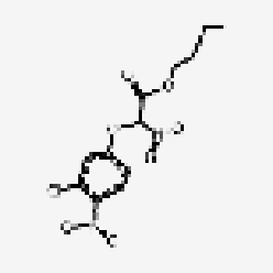 CCCCOC(=O)C(Oc1ccc([N+](=O)[O-])c(Cl)c1)[N+](=O)[O-]